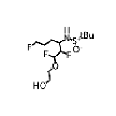 CC(C)(C)[S+]([O-])NC(CCCF)C(F)C(F)OCCO